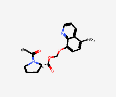 CC(C)(C)C(=O)N1CCC[C@H]1C(=O)OCOc1ccc([N+](=O)[O-])c2cccnc12